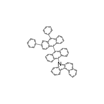 c1ccc(-c2ccc3c(-c4c5ccccc5c(-n5c6ccccc6c6c7ccccc7ccc65)c5ccccc45)c4ccccc4c(-c4ccccc4)c3c2)cc1